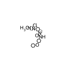 CN1CCN(c2cc3c(cc2Cl)CCN3C(=O)Nc2ccc(Oc3ccccc3)cc2)CC1